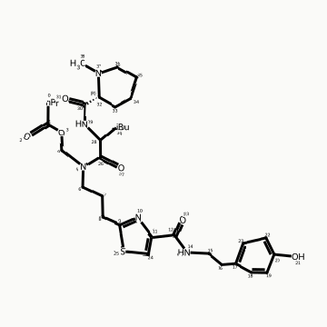 CCCC(=O)OCN(CCCc1nc(C(=O)NCCc2ccc(O)cc2)cs1)C(=O)C(NC(=O)[C@H]1CCCCN1C)C(C)CC